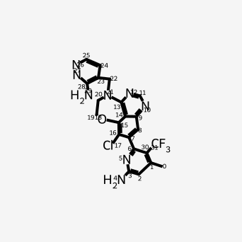 Cc1cc(N)nc(-c2cc3ncnc4c3c(c2Cl)OCCN4Cc2ccnnc2N)c1C(F)(F)F